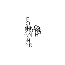 COC1CCCN(C2CCN(c3cc(C(=O)NS(C)(=O)=O)nc4c3c(C3CCC3)nn4-c3ccc(F)cc3)CC2)C1